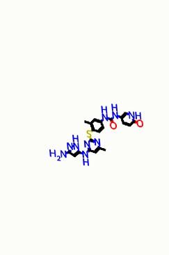 Cc1cc(Nc2cc(N)n[nH]2)nc(Sc2ccc(NC(=O)Nc3ccc(=O)[nH]c3)cc2C)n1